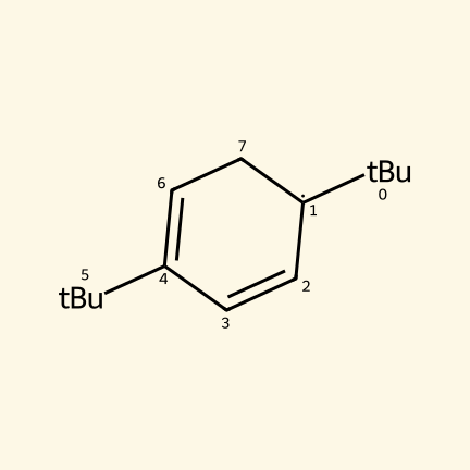 CC(C)(C)[C]1C=CC(C(C)(C)C)=CC1